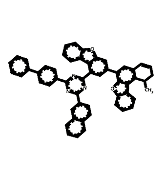 CC1CC=Cc2cc(-c3cc(-c4nc(-c5ccc(-c6ccccc6)cc5)nc(-c5ccc6ccccc6c5)n4)c4c(c3)oc3ccccc34)c3oc4ccccc4c3c21